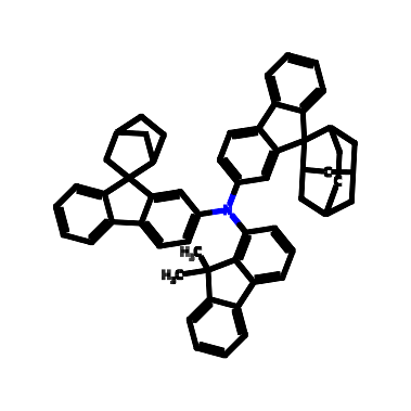 CC1(C)c2ccccc2-c2cccc(N(c3ccc4c(c3)C3(CC5CCC3C5)c3ccccc3-4)c3ccc4c(c3)C3(c5ccccc5-4)C4CCC5CC(C4)CC3C5)c21